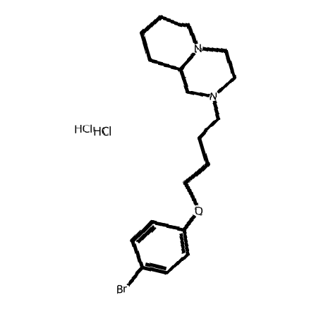 Brc1ccc(OCCCCN2CCN3CCCCC3C2)cc1.Cl.Cl